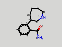 NC(=O)c1ccccc1C1CCCCNC1